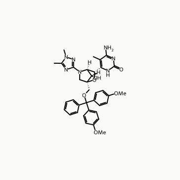 COc1ccc(C(OC[C@@]23CN(c4nc(C)n(C)n4)[C@@H]([C@H](c4[nH]c(=O)nc(N)c4C)O2)[C@@H]3O)(c2ccccc2)c2ccc(OC)cc2)cc1